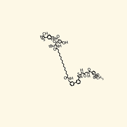 Cc1ncsc1-c1ccc(CNC(=O)[C@@H]2C[C@@H](O)CN2C(=O)[C@@H](NC(=O)CCCCCCCCCCCCCCCC(=O)NCc2cccc(-c3cccc(-c4csc(NC(=O)CNC(=O)c5ccn(S(C)(=O)=O)c5)n4)c3)c2)C(C)(C)C)cc1